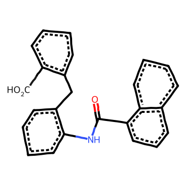 O=C(O)c1ccccc1Cc1ccccc1NC(=O)c1cccc2ccccc12